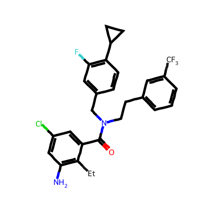 CCc1c(N)cc(Cl)cc1C(=O)N(CCc1cccc(C(F)(F)F)c1)Cc1ccc(C2CC2)c(F)c1